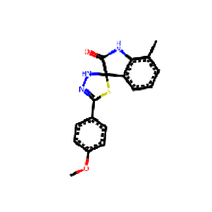 COc1ccc(C2=NNC3(S2)C(=O)Nc2c(C)cccc23)cc1